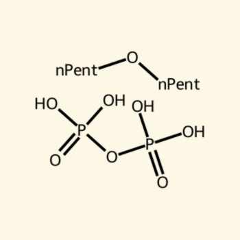 CCCCCOCCCCC.O=P(O)(O)OP(=O)(O)O